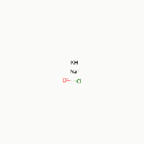 [KH].[Na+].[O-]Cl